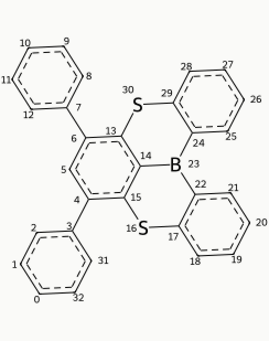 c1ccc(-c2cc(-c3ccccc3)c3c4c2Sc2ccccc2B4c2ccccc2S3)cc1